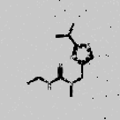 CCNC(=O)N(C)Cc1csc(C(C)C)n1